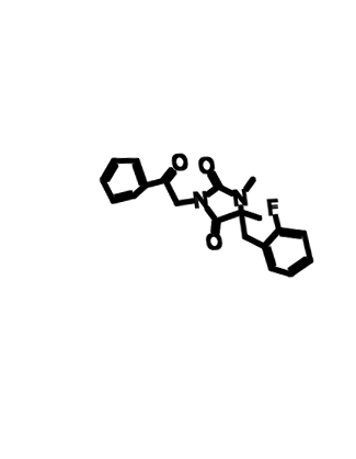 CN1C(=O)N(CC(=O)c2ccccc2)C(=O)C1(C)Cc1ccccc1F